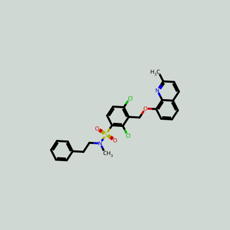 Cc1ccc2cccc(OCc3c(Cl)ccc(S(=O)(=O)N(C)CCc4ccccc4)c3Cl)c2n1